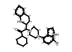 O=C(C1CCCCC1)C(C1CCc2ccccc2N1)N1CCN(c2ccc(Br)c3[nH]ccc23)CC1